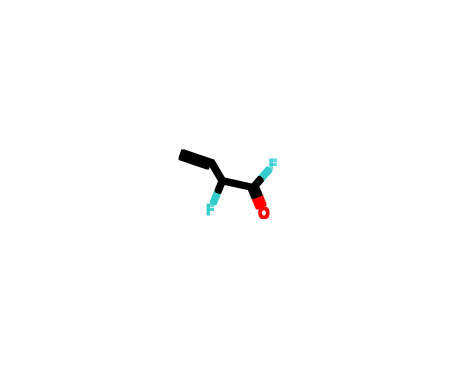 C=CC(F)C(=O)F